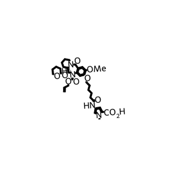 C=CCOC(=O)N1c2cc(OCCCCCC(=O)Nc3cc(C(=O)O)n(C)c3)c(OC)cc2C(=O)N2CCCC[C@H]2[C@@H]1OC1CCCCO1